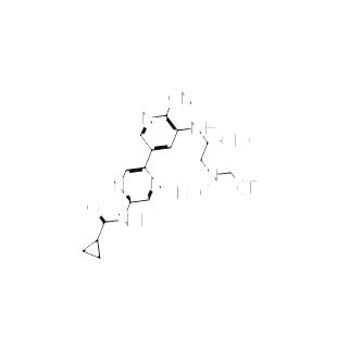 CN(C[C@@H](C=O)Nc1cc(-c2cnc(NC(=O)C3CC3)cn2)cnc1C#N)CC(F)(F)F